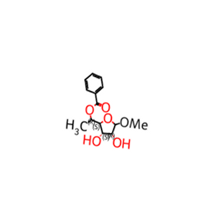 COC1O[C@H]([C@@H](C)OC(=O)c2ccccc2)[C@@H](O)[C@H]1O